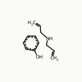 C=CCNCC=C.Oc1ccccc1